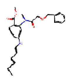 CCCCCCNc1ccc(C(=O)OC)c(N(C)C(=O)COCc2ccccc2)c1